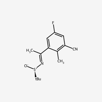 CC(=N[S@+]([O-])C(C)(C)C)c1cc(F)cc(C#N)c1C